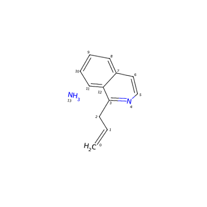 C=CCc1nccc2ccccc12.N